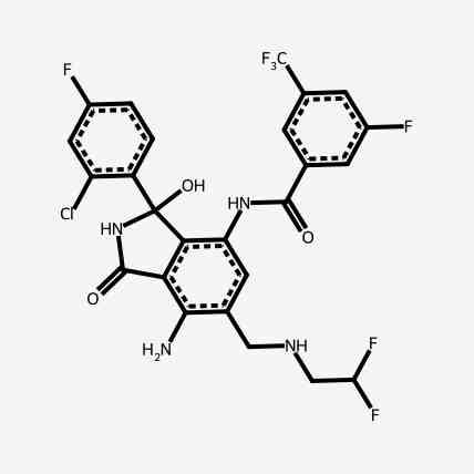 Nc1c(CNCC(F)F)cc(NC(=O)c2cc(F)cc(C(F)(F)F)c2)c2c1C(=O)NC2(O)c1ccc(F)cc1Cl